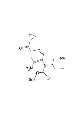 CC(C)(C)OC(=O)N(c1ccc(C(=O)C2CC2)cc1N)C1CCCNC1